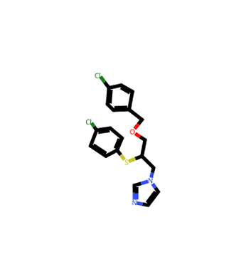 Clc1ccc(COCC(Cn2ccnc2)Sc2ccc(Cl)cc2)cc1